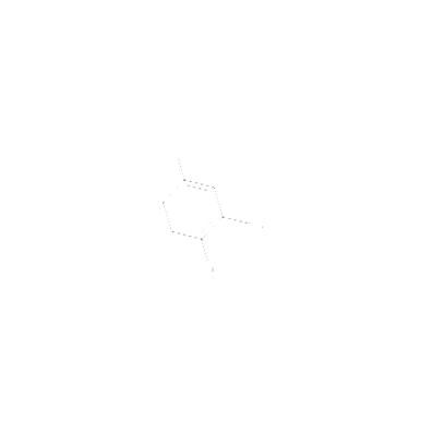 FC1=CC(F)=C(Br)C[CH]1